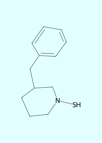 SN1CCCC(Cc2ccccc2)C1